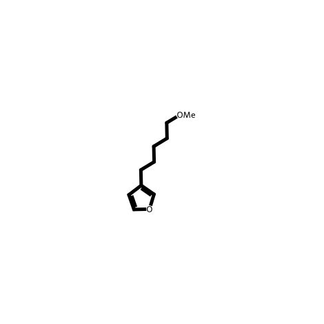 COCCCCCc1ccoc1